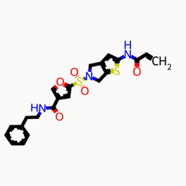 C=CC(=O)Nc1cc2c(s1)CN(S(=O)(=O)c1cc(C(=O)NCCc3ccccc3)co1)C2